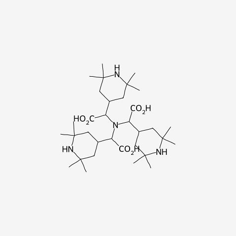 CC1(C)CC(C(C(=O)O)N(C(C(=O)O)C2CC(C)(C)NC(C)(C)C2)C(C(=O)O)C2CC(C)(C)NC(C)(C)C2)CC(C)(C)N1